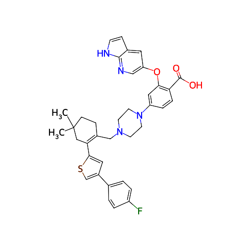 CC1(C)CCC(CN2CCN(c3ccc(C(=O)O)c(Oc4cnc5[nH]ccc5c4)c3)CC2)=C(c2cc(-c3ccc(F)cc3)cs2)C1